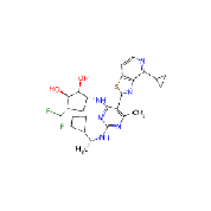 Cc1nc(N[C@H](C)C2CCC2)nc(N[C@@H]2C[C@H](C(F)F)[C@@H](O)[C@H]2O)c1-c1nc2c(C3CC3)nccc2s1